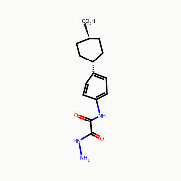 NNC(=O)C(=O)Nc1ccc([C@H]2CC[C@H](C(=O)O)CC2)cc1